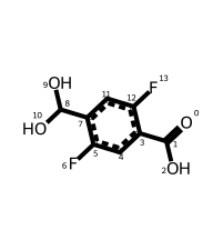 O=C(O)c1cc(F)c(C(O)O)cc1F